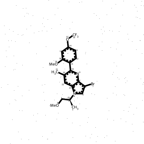 COC[C@H](C)n1cc(Br)c2nc(-c3ccc(OC(F)(F)F)cc3OC)c(C)cc21